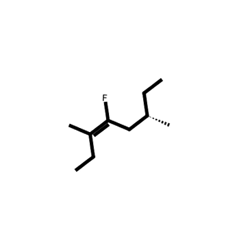 CC/C(C)=C(/F)C[C@@H](C)CC